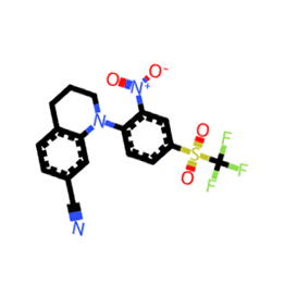 N#Cc1ccc2c(c1)N(c1ccc(S(=O)(=O)C(F)(F)F)cc1[N+](=O)[O-])CCC2